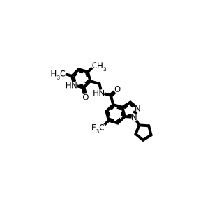 Cc1cc(C)c(CNC(=O)c2cc(C(F)(F)F)cc3c2cnn3C2CCCC2)c(=O)[nH]1